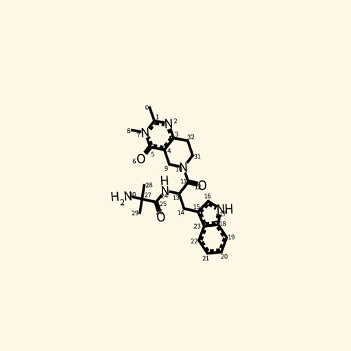 Cc1nc2c(c(=O)n1C)CN(C(=O)C(Cc1c[nH]c3ccccc13)NC(=O)C(C)(C)N)CC2